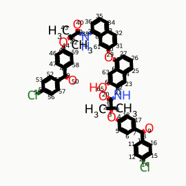 CC(C)(Oc1ccc(C(=O)c2ccc(Cl)cc2)cc1)C(=O)Nc1cc2cccc(Oc3ccc4cccc(NC(=O)C(C)(C)Oc5ccc(C(=O)c6ccc(Cl)cc6)cc5)c4c3)c2cc1O